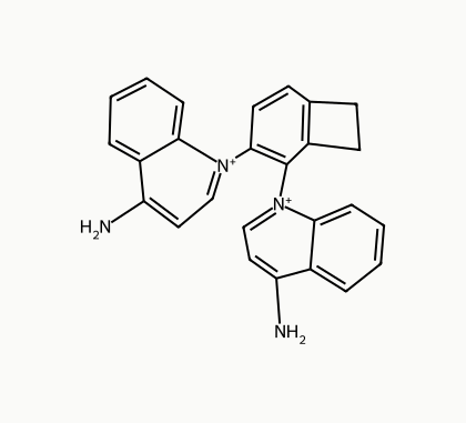 Nc1cc[n+](-c2ccc3c(c2-[n+]2ccc(N)c4ccccc42)CC3)c2ccccc12